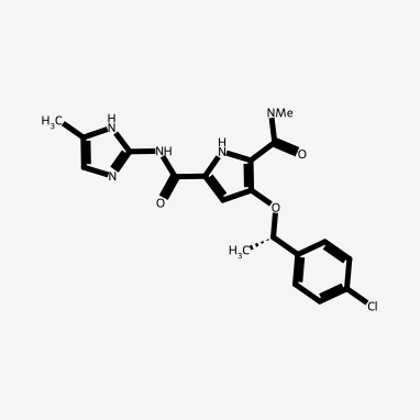 CNC(=O)c1[nH]c(C(=O)Nc2ncc(C)[nH]2)cc1O[C@@H](C)c1ccc(Cl)cc1